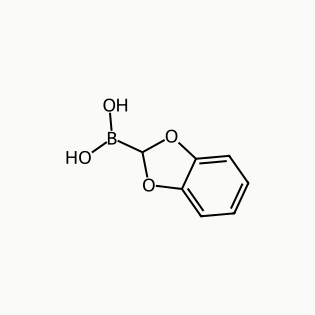 OB(O)C1Oc2ccccc2O1